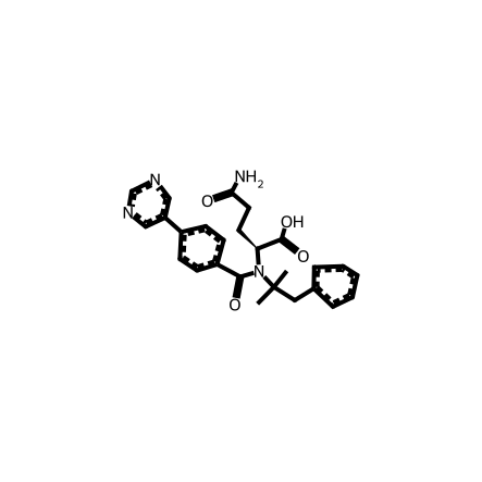 CC(C)(Cc1ccccc1)N(C(=O)c1ccc(-c2cncnc2)cc1)[C@@H](CCC(N)=O)C(=O)O